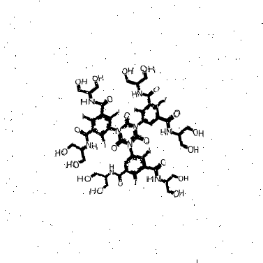 O=C(NC(CO)CO)c1cc(-n2c(=O)n(-c3cc(C(=O)NC(CO)CO)c(I)c(C(=O)NC(CO)CO)c3I)c(=O)n(-c3c(I)c(C(=O)NC(CO)CO)c(I)c(C(=O)NC(CO)CO)c3I)c2=O)c(I)c(C(=O)NC(CO)CO)c1I